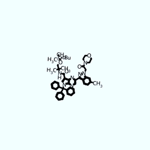 Cc1ccc2c(-c3cnc4c(n3)c(C(=O)NC(C)(C)CO[Si](C)(C)C(C)(C)C)cn4C(c3ccccc3)(c3ccccc3)c3ccccc3)nn(CC(=O)N3CCOCC3)c2c1